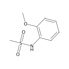 COc1[c]cccc1NS(C)(=O)=O